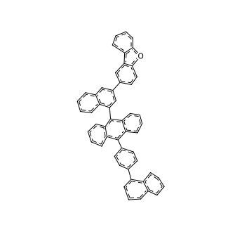 c1ccc2c(-c3ccc(-c4c5ccccc5c(-c5cc(-c6ccc7oc8ccccc8c7c6)cc6ccccc56)c5ccccc45)cc3)cccc2c1